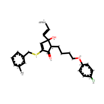 CCCCCCC=CC1(O)C=C(SCc2cccc(C(C)=O)c2)C(=O)C1CCCCOc1ccc(Cl)cc1